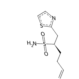 C=CCC[C@H](Cc1nccs1)S(N)(=O)=O